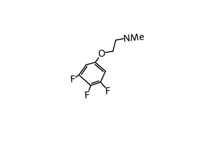 CNCCOc1cc(F)c(F)c(F)c1